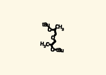 CC(COCC(C)OC(C)(C)C)OC(C)(C)C